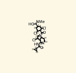 CNC(O)c1cc(Cl)c(C(=O)n2cc(Cl)c3c(NC(=O)C4CC4)nccc32)c(Cl)c1